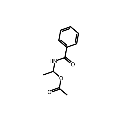 CC(=O)OC(C)NC(=O)c1ccccc1